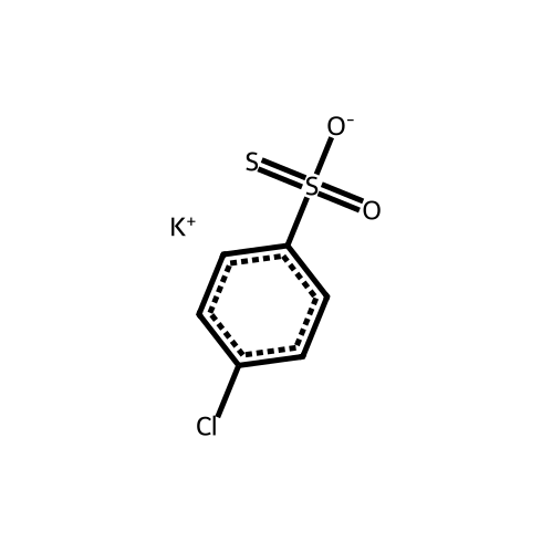 O=S([O-])(=S)c1ccc(Cl)cc1.[K+]